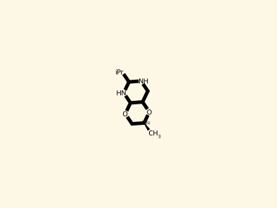 CC(C)C1NCC2O[C@@H](C)COC2N1